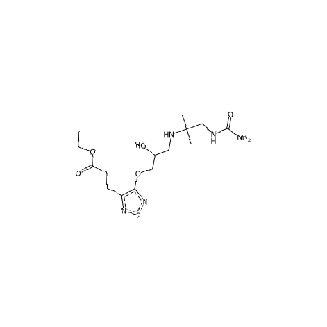 CCOC(=O)CCc1nsnc1OCC(O)CNC(C)(C)CNC(N)=O